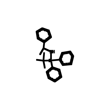 CC(N[Si](c1ccccc1)(c1ccccc1)C(C)(C)C)c1ccccc1